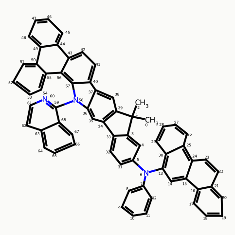 CC1(C)c2cc(N(c3ccccc3)c3cc4c5ccccc5ccc4c4ccccc34)ccc2-c2cc3c(cc21)c1ccc2c4ccccc4c4ccccc4c2c1n3-c1nccc2ccccc12